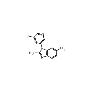 Cc1nc2ccc(C(F)(F)F)cc2n1-c1cncc(Cl)n1